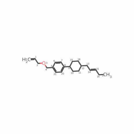 C=CCOCc1ccc(C2CCC(CC=CCC)CC2)cc1